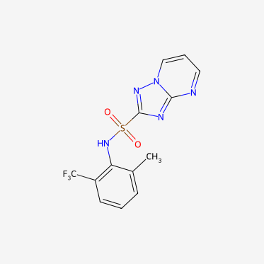 Cc1cccc(C(F)(F)F)c1NS(=O)(=O)c1nc2ncccn2n1